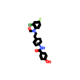 O=CN(CCC1=CC[C@H](NC(=O)c2ccc(O)cc2)CC1)c1ccc(F)cc1Cl